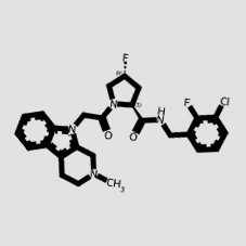 CN1CCc2c(n(CC(=O)N3C[C@H](F)C[C@H]3C(=O)NCc3cccc(Cl)c3F)c3ccccc23)C1